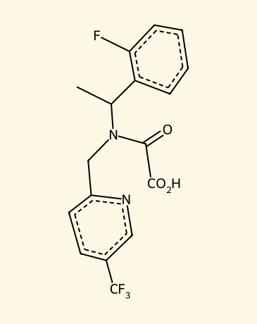 CC(c1ccccc1F)N(Cc1ccc(C(F)(F)F)cn1)C(=O)C(=O)O